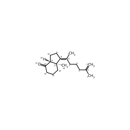 C=C(C)CCC/C(C)=C1/CC[C@H]2C(=O)CCC[C@]12C